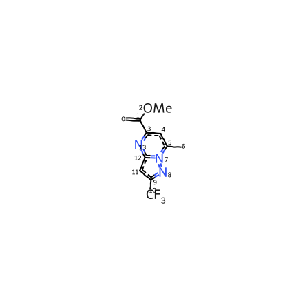 C=C(OC)c1cc(C)n2nc(C(F)(F)F)cc2n1